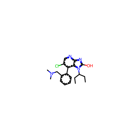 CCC(CC)n1c(O)nc2ncc(Cl)c(-c3ccccc3CN(C)C)c21